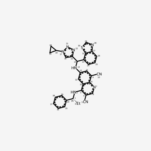 CC[C@@H](Nc1c(C#N)cnc2c(C#N)cc(NC(c3cn(C4CC4)nn3)c3cccc4ncsc34)cc12)c1ccccc1